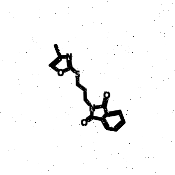 Cc1coc(SCCCN2C(=O)c3ccccc3C2=O)n1